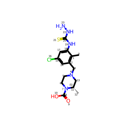 Cc1c(CN2CCN(C(=O)O)[C@@H](C)C2)cc(Cl)cc1NC(=S)NN